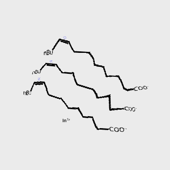 CCCC/C=C\CCCCCCCC(=O)[O-].CCCC/C=C\CCCCCCCC(=O)[O-].CCCC/C=C\CCCCCCCC(=O)[O-].[In+3]